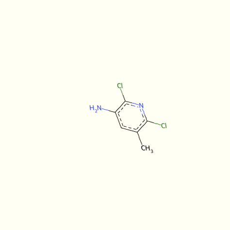 Cc1cc(N)c(Cl)nc1Cl